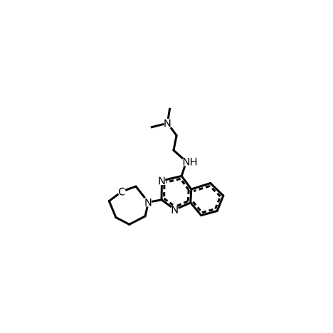 CN(C)CCNc1nc(N2CCCCCC2)nc2ccccc12